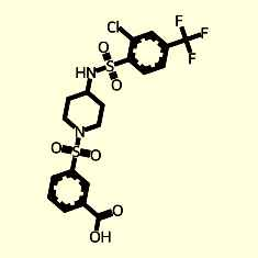 O=C(O)c1cccc(S(=O)(=O)N2CCC(NS(=O)(=O)c3ccc(C(F)(F)F)cc3Cl)CC2)c1